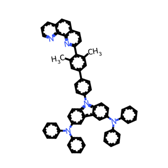 Cc1cc(-c2ccc(-n3c4ccc(N(c5ccccc5)c5ccccc5)cc4c4cc(N(c5ccccc5)c5ccccc5)ccc43)cc2)cc(C)c1-c1ccc2ccc3cccnc3c2n1